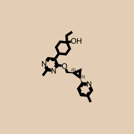 CCC1(O)CCC(c2cnc(C)nc2OC[C@H]2C[C@@H]2c2ccc(C)cn2)CC1